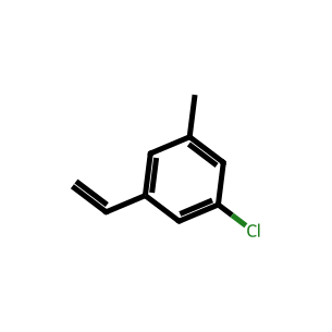 C=Cc1cc(C)cc(Cl)c1